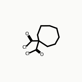 O=C(Cl)C1(C(=O)Cl)CCCCCCC1